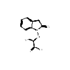 CC(NN1C(=O)Cc2ccccc21)C(=O)O